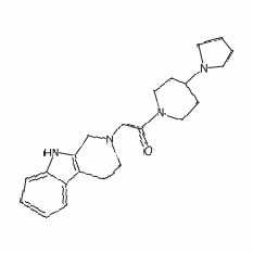 O=C(CN1CCc2c([nH]c3ccccc23)C1)N1CCC(N2CCCC2)CC1